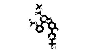 CC(C)(C)OC(=O)N1Cc2nc3cc(F)c(-c4cnc(C(C)(C)O)nc4)cc3n2C(c2ccccc2OC(F)F)C1